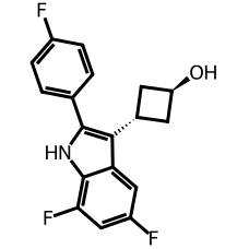 O[C@H]1C[C@H](c2c(-c3ccc(F)cc3)[nH]c3c(F)cc(F)cc32)C1